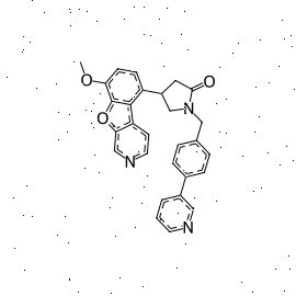 COc1ccc(C2CC(=O)N(Cc3ccc(-c4cccnc4)cc3)C2)c2c1oc1cnccc12